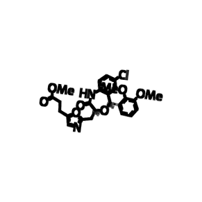 COC(=O)CCc1cnc(C[C@@H]2O[C@@H](c3cccc(OC)c3OC)c3cc(Cl)ccc3NC2=O)o1